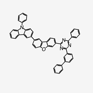 c1ccc(-c2cccc(-c3nc(-c4ccccc4)nc(-c4ccc5c(c4)oc4ccc(-c6ccc7c(c6)c6ccccc6n7-c6ccccc6)cc45)n3)c2)cc1